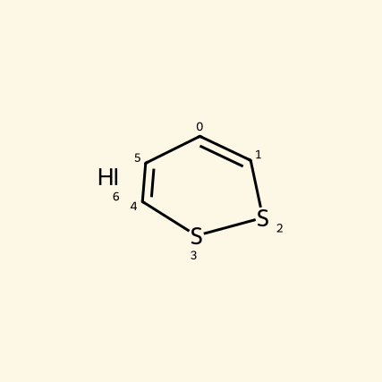 C1=CSSC=C1.I